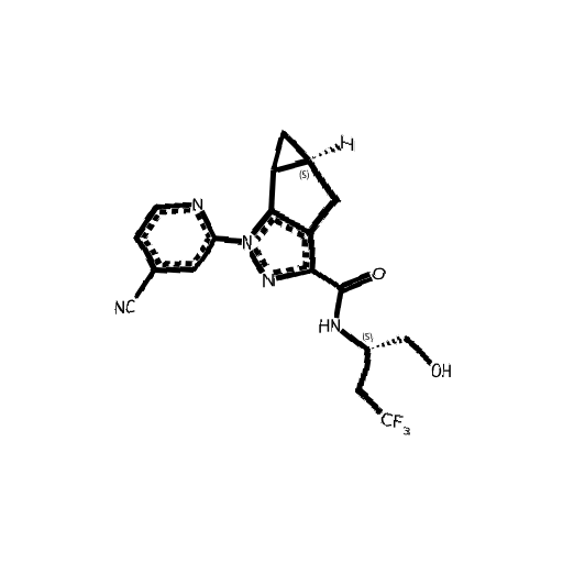 N#Cc1ccnc(-n2nc(C(=O)N[C@H](CO)CC(F)(F)F)c3c2C2C[C@H]2C3)c1